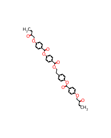 C=CC(=O)COc1ccc(C(=O)Oc2ccc(CCOC(=O)c3ccc(OC(=O)c4ccc(OCC(=O)C=C)cc4)cc3)cc2)cc1